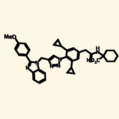 COc1ccc(-c2nc3ccccc3n2Cc2cn(-c3c(C4CC4)cc(CC(=O)NC4(C(=O)O)CCCCC4)cc3C3CC3)nn2)cc1